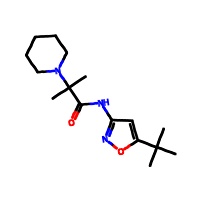 CC(C)(C)c1cc(NC(=O)C(C)(C)N2CCCCC2)no1